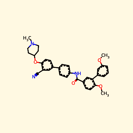 COc1cccc(-c2cc(C(=O)Nc3ccc(-c4ccc(OC5CCN(C)CC5)c(C#N)c4)cc3)ccc2OC)c1